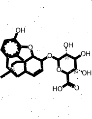 CN1CCC23c4c5ccc(O)c4OC2C(OC2OC(C(=O)O)[C@@H](O)C(O)[C@H]2O)C=CC3C1C5